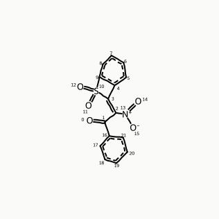 O=C(C(=C1c2ccccc2S1(=O)=O)[N+](=O)[O-])c1ccccc1